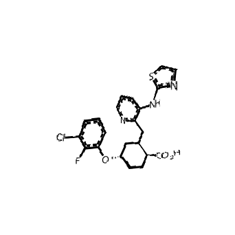 O=C(O)[C@H]1CC[C@H](Oc2cccc(Cl)c2F)CC1Cc1ncccc1Nc1nccs1